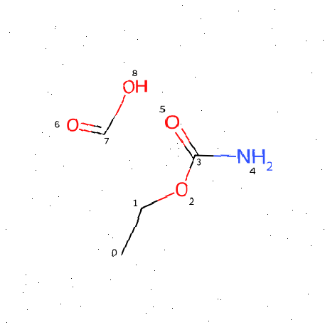 CCOC(N)=O.O=CO